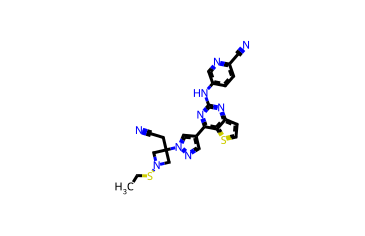 CCSN1CC(CC#N)(n2cc(-c3nc(Nc4ccc(C#N)nc4)nc4ccsc34)cn2)C1